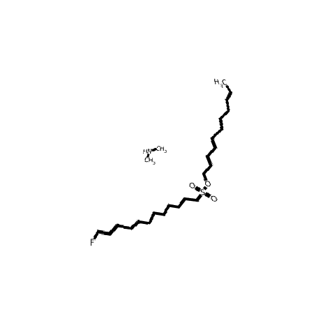 CCCCCCCCCCCOS(=O)(=O)CCCCCCCCCCCCF.CNC